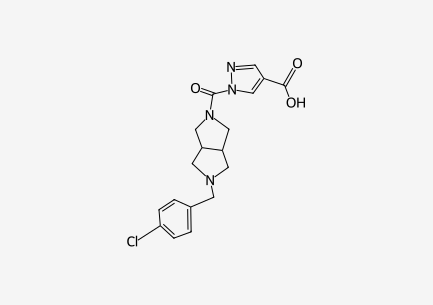 O=C(O)c1cnn(C(=O)N2CC3CN(Cc4ccc(Cl)cc4)CC3C2)c1